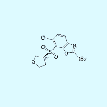 CC(C)(C)c1nc2ccc(Cl)c(S(=O)(=O)[C@H]3CCOC3)c2o1